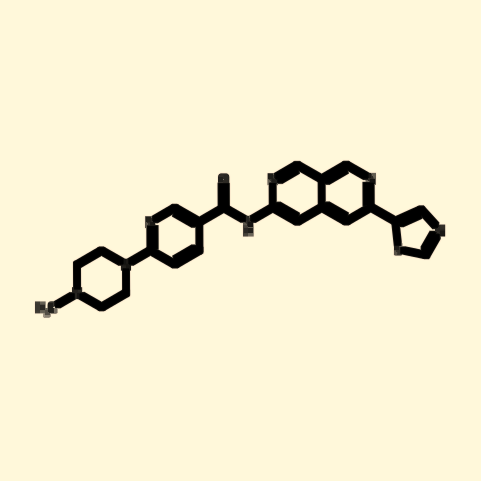 CN1CCN(c2ccc(C(=O)Nc3cc4cc(-c5cncs5)ncc4cn3)cn2)CC1